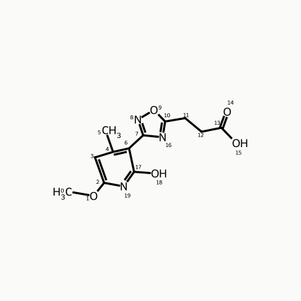 COc1cc(C)c(-c2noc(CCC(=O)O)n2)c(O)n1